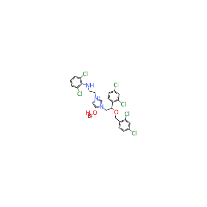 Clc1ccc(COC(Cn2cc[n+](CCNc3c(Cl)cccc3Cl)c2)c2ccc(Cl)cc2Cl)c(Cl)c1.O.[Br-]